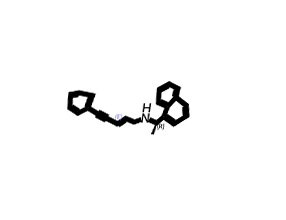 C[C@@H](NC/C=C/C#Cc1ccccc1)c1cccc2ccccc12